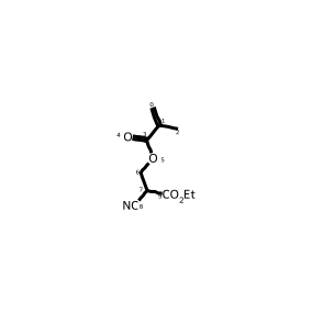 C=C(C)C(=O)OCC(C#N)C(=O)OCC